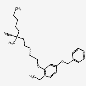 CCCCCC(C)(C#N)CCCCCOc1cc(OCc2ccccc2)ccc1CC